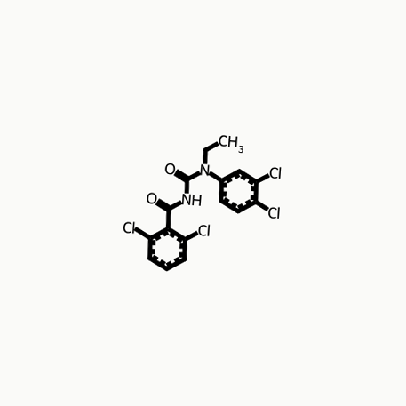 CCN(C(=O)NC(=O)c1c(Cl)cccc1Cl)c1ccc(Cl)c(Cl)c1